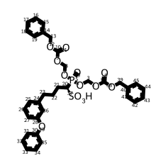 O=C(OCOP(=O)(OCOC(=O)OCc1ccccc1)[C@H](CCCc1cccc(Oc2ccccc2)c1)S(=O)(=O)O)OCc1ccccc1